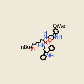 CCCCC(=O)CCCCCC(NC(=O)Cc1c(C)[nH]c2ccc(OC)cc12)C(=O)NCCc1c(-c2ccccc2)[nH]c2ccccc12